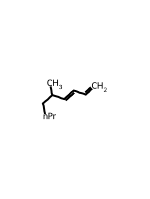 C=CC=CC(C)CCCC